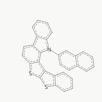 c1ccc2cc(-n3c4ccccc4c4ccc5sc6sc7ccccc7c6c5c43)ccc2c1